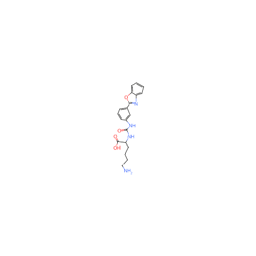 NCCCCC(NC(=O)Nc1cccc(-c2nc3ccccc3o2)c1)C(=O)O